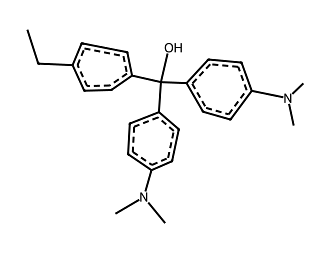 CCc1ccc(C(O)(c2ccc(N(C)C)cc2)c2ccc(N(C)C)cc2)cc1